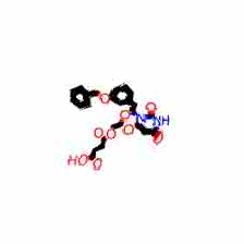 O=C(O)CCC(=O)OCCOC(Cc1cccc(OCc2ccccc2)c1)N1C(=O)CC(=O)NC1=O